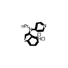 CCCN(c1ccncc1)c1csc2cccc(Cl)c12.Cl